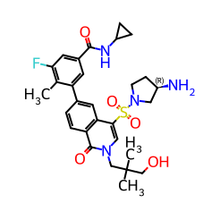 Cc1c(F)cc(C(=O)NC2CC2)cc1-c1ccc2c(=O)n(CC(C)(C)CO)cc(S(=O)(=O)N3CC[C@@H](N)C3)c2c1